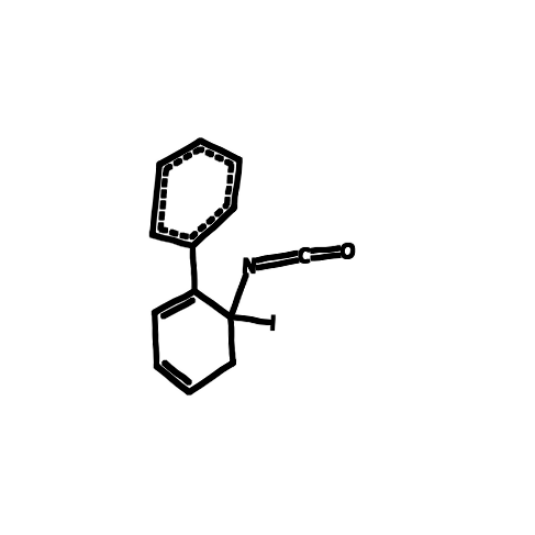 O=C=NC1(I)CC=CC=C1c1ccccc1